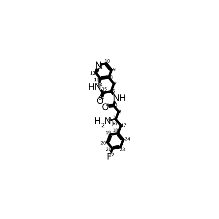 N[C@@H](CC(=O)NC1Cc2ccncc2NC1=O)Cc1ccc(F)cc1